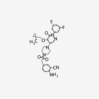 CC1(COc2c(N3CCN(S(=O)(=O)Cc4ccc(N)c(C#N)c4)CC3)cnn(-c3cc(F)cc(F)c3)c2=O)CC1